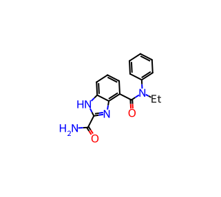 CCN(C(=O)c1cccc2[nH]c(C(N)=O)nc12)c1ccccc1